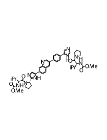 COC(=O)NC(C(=O)N1CCC[C@H]1c1ncc(-c2ccc3cc(-c4ccc(-c5cnc([C@@H]6CCCN6C(=O)[C@@H](NC(=O)OC)C(C)C)[nH]5)cc4)cnc3c2)[nH]1)C(C)C